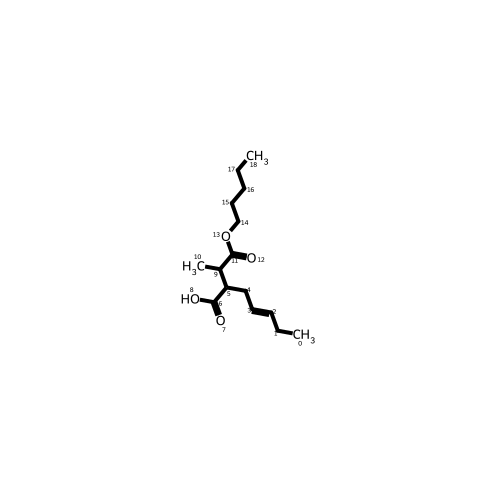 CCC=CCC(C(=O)O)C(C)C(=O)OCCCCC